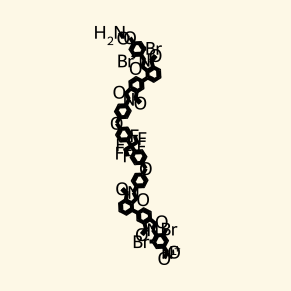 NOOc1cc(Br)c(N2C(=O)c3cccc(-c4ccc5c(c4)C(=O)N(c4ccc(Oc6ccc(C(c7ccc(Oc8ccc(N9C(=O)c%10cccc(-c%11ccc%12c(c%11)C(=O)N(c%11c(Br)cc([N+](=O)[O-])cc%11Br)C%12=O)c%10C9=O)cc8)cc7)(C(F)(F)F)C(F)(F)F)cc6)cc4)C5=O)c3C2=O)c(Br)c1